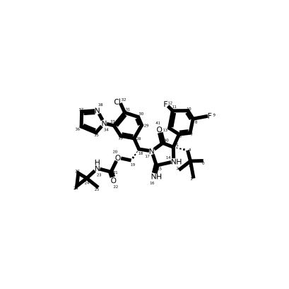 CC(C)(C)C[C@]1(c2cc(F)cc(F)c2)NC(=N)N([C@H](COC(=O)NC2(C)CC2)c2ccc(Cl)c(-n3cccn3)c2)C1=O